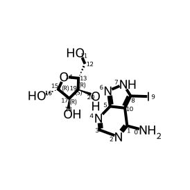 Nc1ncnc2n[nH]c(I)c12.OC[C@H]1O[C@@H](O)[C@H](O)[C@@H]1O